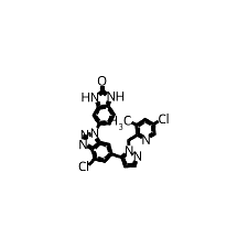 Cc1cc(Cl)cnc1Cn1nccc1-c1cc(Cl)c2nnn(-c3ccc4[nH]c(=O)[nH]c4c3)c2c1